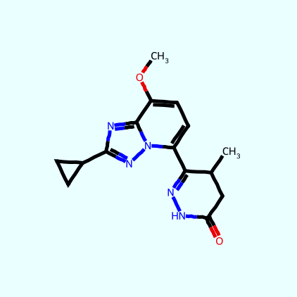 COc1ccc(C2=NNC(=O)CC2C)n2nc(C3CC3)nc12